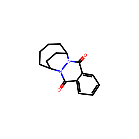 O=c1c2ccccc2c(=O)n2n1C1CCCCC2CC1